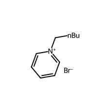 CCCCC[n+]1ccccc1.[Br-]